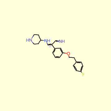 N=C/C(=C\NC1CCNCC1)c1cccc(OCCc2ccc(F)cc2)c1